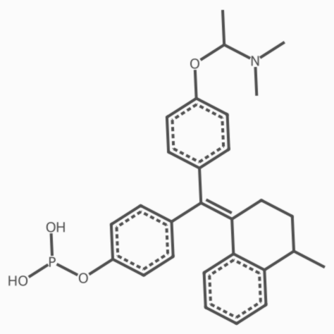 CC1CCC(=C(c2ccc(OC(C)N(C)C)cc2)c2ccc(OP(O)O)cc2)c2ccccc21